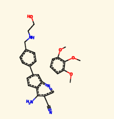 COc1cccc(OC)c1OC.N#Cc1cnc2cc(-c3ccc(CNCCO)cc3)ccc2c1N